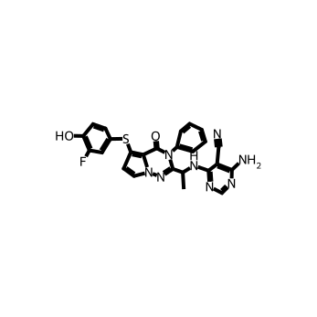 CC(Nc1ncnc(N)c1C#N)c1nn2ccc(Sc3ccc(O)c(F)c3)c2c(=O)n1-c1ccccc1